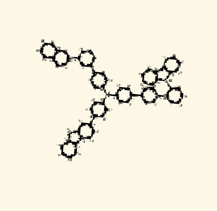 c1cc(-c2ccc(N(c3ccc(-c4ccc(-c5ccccc5-n5c6ccccc6c6ccccc65)cc4)cc3)c3ccc(-c4ccc5c(c4)sc4ccccc45)cc3)cc2)cc(-c2ccc3ccccc3c2)c1